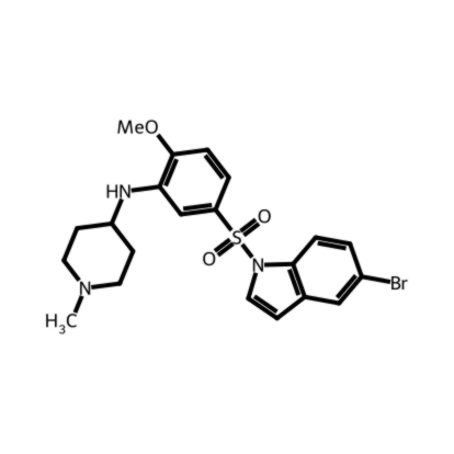 COc1ccc(S(=O)(=O)n2ccc3cc(Br)ccc32)cc1NC1CCN(C)CC1